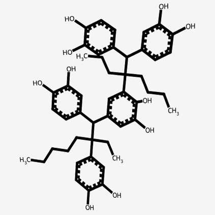 CCCCCC(CC)(c1ccc(O)c(O)c1)C(c1ccc(O)c(O)c1)c1cc(O)c(O)c(C(CCC)(CCCC)C(c2ccc(O)c(O)c2)c2ccc(O)c(O)c2)c1